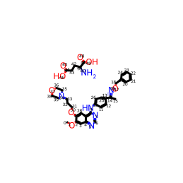 COc1cc2ncnc(Nc3ccc(/C(C)=N/OCc4ccccc4)cc3)c2cc1OCCCN1CCOCC1.N[C@@H](CCC(=O)O)C(=O)O